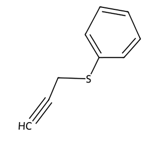 C#CCSc1ccccc1